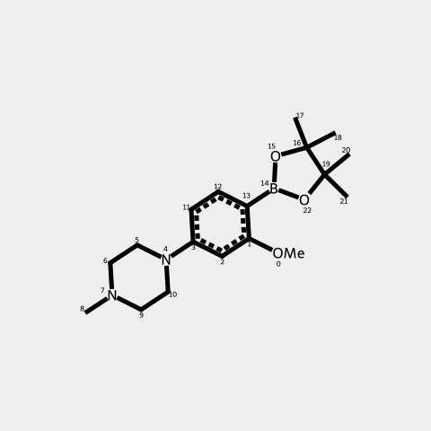 COc1cc(N2CCN(C)CC2)ccc1B1OC(C)(C)C(C)(C)O1